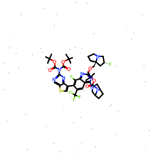 CC(C)(C)OC(=O)N(C(=O)OC(C)(C)C)c1ncc2scc(-c3c(C(F)(F)F)cc4c(N5CC6CCC(C5)N6C(=O)OC(C)(C)C)nc(OC[C@@]56CCCN5C[C@H](F)C6)nc4c3F)c2n1